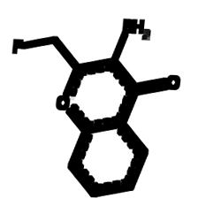 Bc1c(CF)oc2ccccc2c1=O